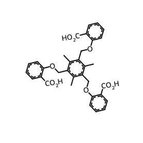 Cc1c(COc2ccccc2C(=O)O)c(C)c(COc2ccccc2C(=O)O)c(C)c1COc1ccccc1C(=O)O